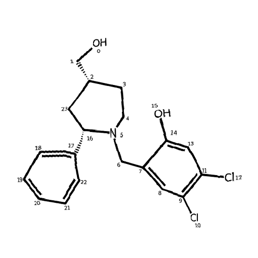 OC[C@@H]1CCN(Cc2cc(Cl)c(Cl)cc2O)[C@H](c2ccccc2)C1